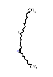 CCCCCCCC/C=C\CCCCCCCC(=O)CCCCCCCCCC